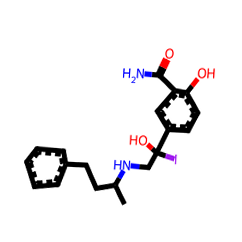 CC(CCc1ccccc1)NCC(O)(I)c1ccc(O)c(C(N)=O)c1